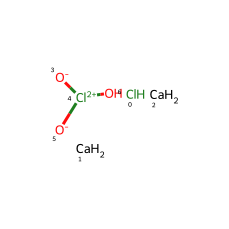 Cl.[CaH2].[CaH2].[O-][Cl+2]([O-])O